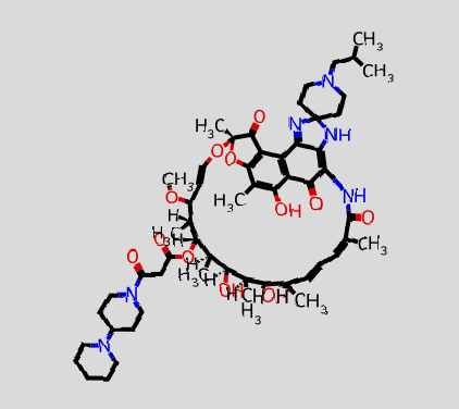 COC1/C=C/O[C@@]2(C)Oc3c(C)c(O)c4c(c3C2=O)C2=NC3(CCN(CC(C)C)CC3)NC2=C(NC(=O)/C(C)=C\C=C\[C@H](C)[C@H](O)[C@@H](C)[C@@H](O)[C@@H](C)[C@H](OC(=O)CC(=O)N2CCC(N3CCCCC3)CC2)[C@@H]1C)C4=O